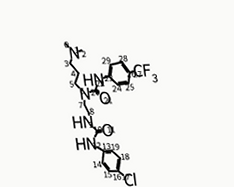 CN(C)CCCN(CCNC(=O)Nc1ccc(Cl)cc1)C(=O)Nc1ccc(C(F)(F)F)cc1